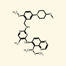 COc1ccc(N2CCC(OI)CC2)cc1CNc1ncc(C)c(Nc2ccc3nccnc3c2N(C)SC)n1